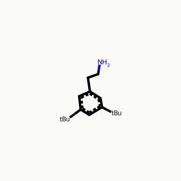 CC(C)(C)c1cc(CCN)cc(C(C)(C)C)c1